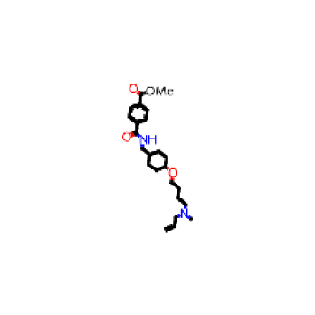 C=CCN(C)CCCCOC1CCC(CNC(=O)c2ccc(C(=O)OC)cc2)CC1